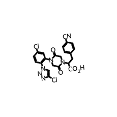 N#Cc1ccc(CC(C(=O)O)N2CC(=O)N(c3cc(Cl)ccc3-n3cc(Cl)nn3)CC2=O)cc1